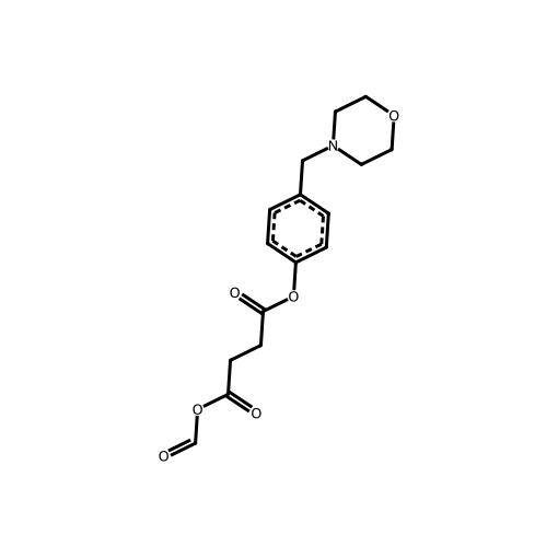 O=COC(=O)CCC(=O)Oc1ccc(CN2CCOCC2)cc1